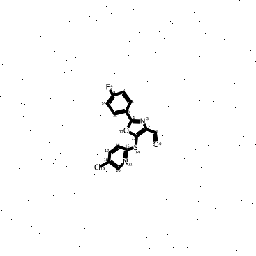 O=Cc1nc(-c2ccc(F)cc2)oc1Sc1ccc(Cl)cn1